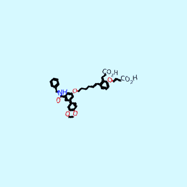 O=C(O)CCCOc1cccc(CCCCCCOc2cc(C(=O)NCc3ccccc3)cc(-c3ccc4c(c3)OCCO4)c2)c1CCC(=O)O